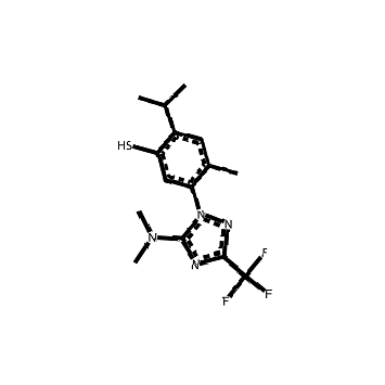 Cc1cc(C(C)C)c(S)cc1-n1nc(C(F)(F)F)nc1N(C)C